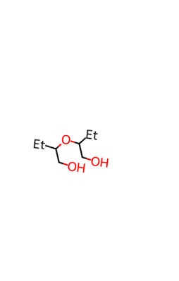 CCC(CO)OC(CC)CO